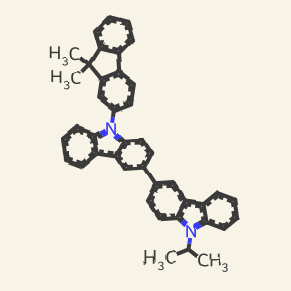 CC(C)n1c2ccccc2c2cc(-c3ccc4c(c3)c3ccccc3n4-c3ccc4c(c3)C(C)(C)c3ccccc3-4)ccc21